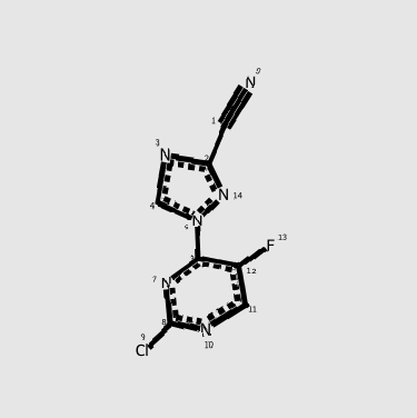 N#Cc1ncn(-c2nc(Cl)ncc2F)n1